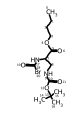 CCCCOC(=O)C(CNC(=O)OC(C)(C)C)NC(=O)Br